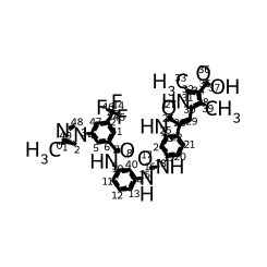 Cc1cn(-c2cc(C(=O)Nc3cccc(NC(=O)Nc4ccc5c(c4)NC(=O)/C5=C\c4[nH]c(C)c(C(=O)O)c4C)c3)cc(C(F)(F)F)c2)cn1